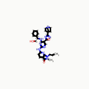 C=CCn1c2nc(Nc3ncc(-c4nc(C56CCN(CC5)CC6)no4)c(N[C@H](CO)c4ccccc4)n3)ccc2c(=O)n1C